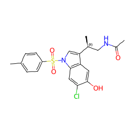 CC(=O)NC[C@H](C)c1cn(S(=O)(=O)c2ccc(C)cc2)c2cc(Cl)c(O)cc12